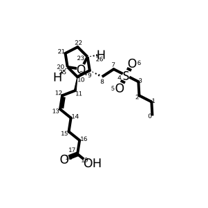 CCCCS(=O)(=O)CC[C@@H]1[C@@H](C/C=C\CCCC(=O)O)[C@H]2CC[C@@H]1O2